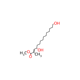 COC(=O)C(C)=CC(O)CCCCCCCCCCCO